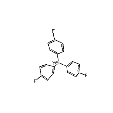 Fc1ccc([SiH](c2ccc(F)cc2)c2ccc(F)cc2)cc1